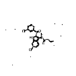 CCCC(=O)Nc1c(C(=O)c2cccc(Cl)c2)[nH]c2cc(Cl)ccc12